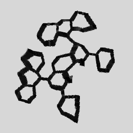 c1ccc(-c2cc(-c3c4ccccc4cc4ccccc34)c3ccc4c(-c5c6ccccc6cc6ccccc56)cc(-c5ccccc5)nc4c3n2)cc1